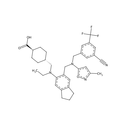 CCN(C[C@H]1CC[C@H](C(=O)O)CC1)c1cc2c(cc1CN(Cc1cc(C#N)cc(C(F)(F)F)c1)c1cc(C)no1)CCC2